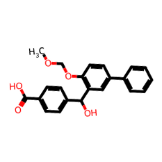 COCOc1ccc(-c2ccccc2)cc1C(O)c1ccc(C(=O)O)cc1